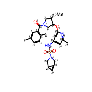 COC1CN(C(=O)c2cc(C)ccc2C)CC1Oc1cc(NS(=O)(=O)N2CC3=CC3C2)cc(C)n1